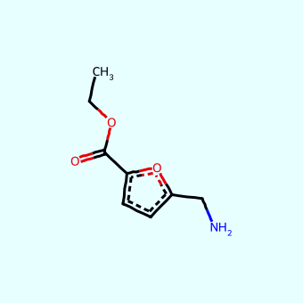 CCOC(=O)c1ccc(CN)o1